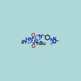 CCCCN1C(=O)C(CC(C)C)NC(=O)C12CCN(Cc1ccc(-n3nc(C)cc3C)cc1)CC2